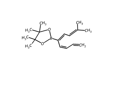 C=C/C=C\C(=C/C=C(C)C)B1OC(C)(C)C(C)(C)O1